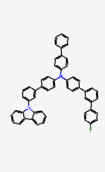 Fc1ccc(-c2cccc(-c3ccc(N(c4ccc(-c5ccccc5)cc4)c4ccc(-c5cccc(-n6c7ccccc7c7ccccc76)c5)cc4)cc3)c2)cc1